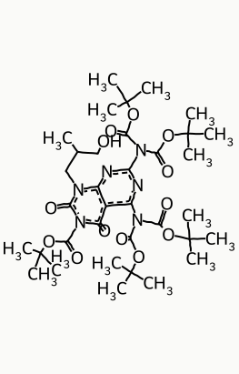 CC(CO)Cn1c(=O)n(C(=O)OC(C)(C)C)c(=O)c2c(N(C(=O)OC(C)(C)C)C(=O)OC(C)(C)C)nc(N(C(=O)OC(C)(C)C)C(=O)OC(C)(C)C)nc21